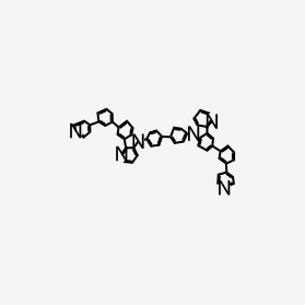 c1cc(-c2ccncc2)cc(-c2ccc3c(c2)c2ncccc2n3-c2ccc(-c3ccc(-n4c5ccc(-c6cccc(-c7ccncc7)c6)cc5c5ncccc54)cc3)cc2)c1